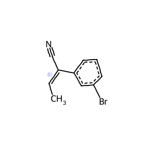 C/C=C(/C#N)c1cccc(Br)c1